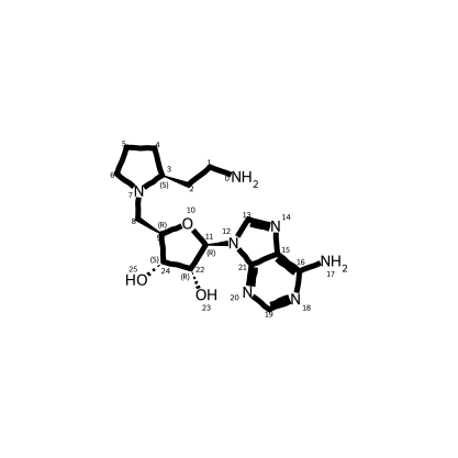 NCC[C@@H]1CCCN1C[C@H]1O[C@@H](n2cnc3c(N)ncnc32)[C@H](O)[C@@H]1O